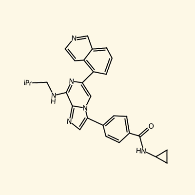 CC(C)CNc1nc(-c2cccc3cnccc23)cn2c(-c3ccc(C(=O)NC4CC4)cc3)cnc12